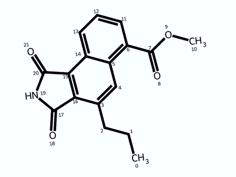 CCCc1cc2c(C(=O)OC)cccc2c2c1C(=O)NC2=O